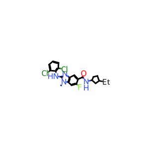 CCC1CCC(NC(=O)c2cc3nc(Nc4c(Cl)cccc4Cl)n(C)c3cc2F)C1